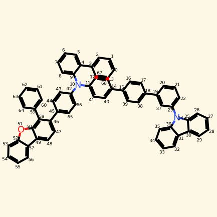 c1ccc(-c2ccccc2N(c2ccc(-c3ccc(-c4cccc(-n5c6ccccc6c6ccccc65)c4)cc3)cc2)c2ccc(-c3ccc4c(oc5ccccc54)c3-c3ccccc3)cc2)cc1